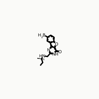 Bc1ccc2oc3c(=O)[nH]c(CN[C@H](C)CC)nc3c2c1